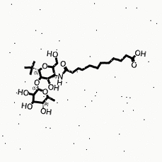 CC1O[C@@H](OC2C(O)[C@@H](NC(=O)CCCCCCCCCCC(=O)O)C(CO)O[C@H]2C(C)(C)C)C(O)C(O)[C@H]1O